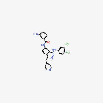 Cl.Nc1cccc(C(=O)Nc2ccc3c(Cc4ccncc4)nnc(Nc4ccc(Cl)cc4)c3c2)c1